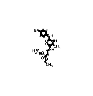 CCOP(=O)(CCNC(=O)C(C)NC(=O)Nc1ccc(Br)cc1)OCC